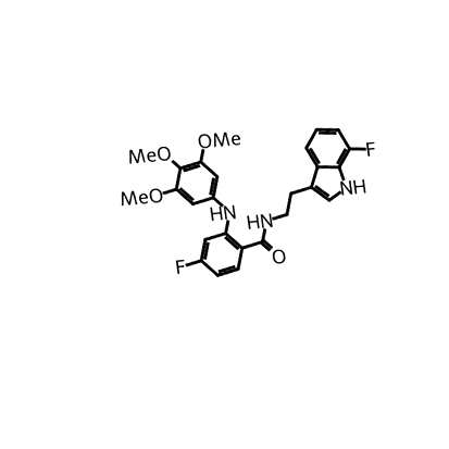 COc1cc(Nc2cc(F)ccc2C(=O)NCCc2c[nH]c3c(F)cccc23)cc(OC)c1OC